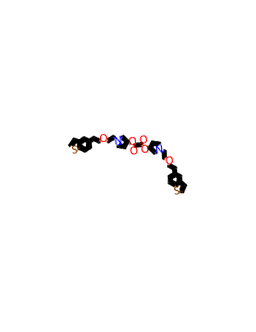 O=C(O[C@H]1CCN(CCOCCc2ccc3sccc3c2)C1)C(=O)O[C@H]1CCN(CCOCCc2ccc3sccc3c2)C1